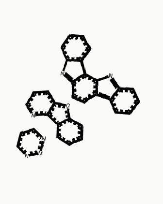 c1ccc2c(c1)N=c1ccc3c(c1-2)N=c1ccccc1=3.c1ccc2c(c1)oc1cccnc12.c1cnnnc1